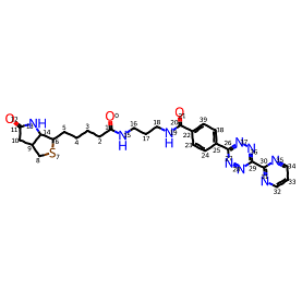 O=C(CCCCC1SCC2CC(=O)NC21)NCCCNC(=O)c1ccc(-c2nnc(-c3ncccn3)nn2)cc1